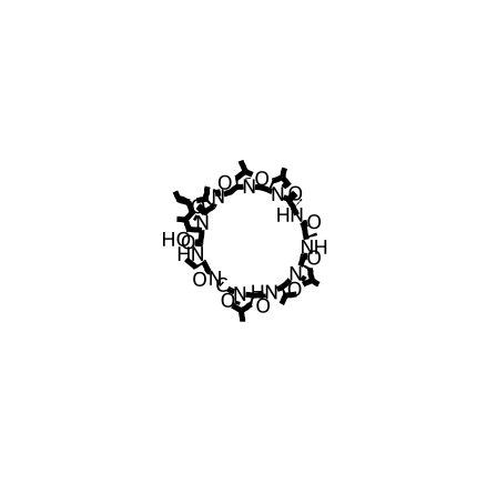 C/C=C/CC(C)[C@@H](O)C1C(=O)N[C@H](CC)C(=O)N(C)CC(=O)N(C)[C@H](CC(C)C)C(=O)N[C@H](C(C)C)C(=O)N(C)[C@H](CC(C)C)C(=O)N[C@H](C)C(=O)N[C@@H](C)C(=O)N(C)[C@H](CC(C)C)C(=O)N(C)[C@H](CC(C)C)C(=O)N(C)[C@H](C(C)C)C(=O)N1C